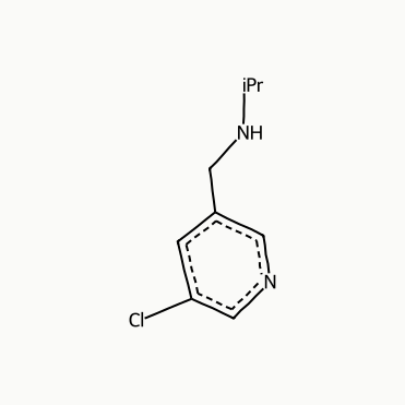 CC(C)NCc1cncc(Cl)c1